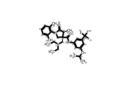 CCN(CC)C[C@@]1(C(=O)Nc2cc(OC(C)C)cc(C(F)(F)F)c2)CN(c2c(C)cccc2C)C(=O)[C@H]1C